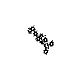 C1=CC2Oc3ccccc3[C@@]3(c4cc(-c5ccc(-c6cccc7ncccc67)cc5)ccc4-c4ccc(-c5cc(-c6ccccc6)nc(-c6ccccc6)n5)cc43)C2C=C1